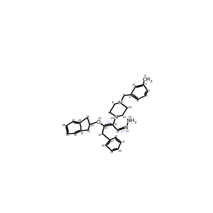 Cc1cccc(CN2CCN(C(/C=N\N)=C(/Cc3ccccc3)OC3Cc4ccccc4C3)CC2)c1